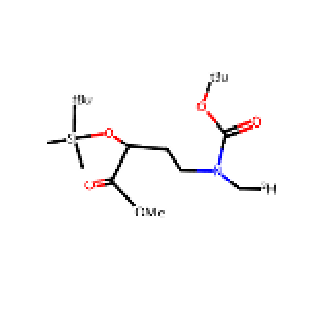 [2H]CN(CCC(O[Si](C)(C)C(C)(C)C)C(=O)OC)C(=O)OC(C)(C)C